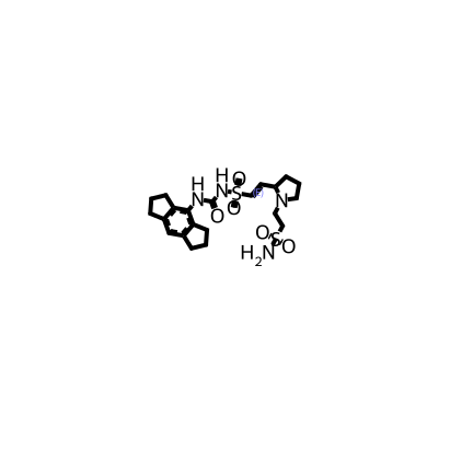 NS(=O)(=O)CCN1CCCC1/C=C/S(=O)(=O)NC(=O)Nc1c2c(cc3c1CCC3)CCC2